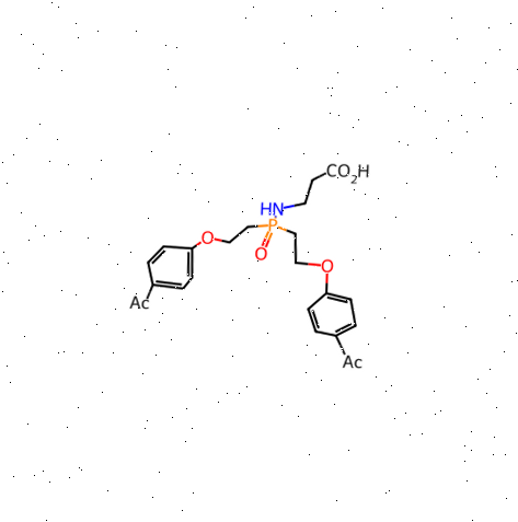 CC(=O)c1ccc(OCCP(=O)(CCOc2ccc(C(C)=O)cc2)NCCC(=O)O)cc1